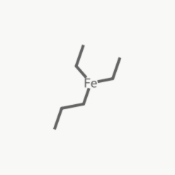 CC[CH2][Fe]([CH2]C)[CH2]C